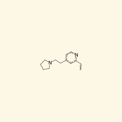 C=Cc1cc(CCN2CCCC2)ccn1